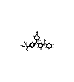 CCN(CC)C(=O)c1ccc(C(=C2CCNCC2)c2cccc(NC3CCCCC3)c2)cc1